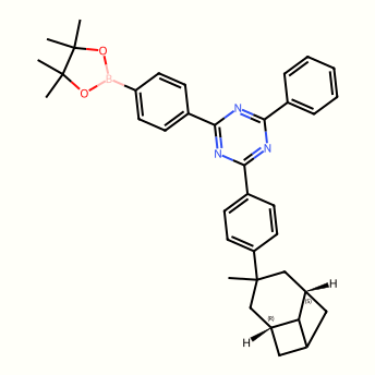 CC1(c2ccc(-c3nc(-c4ccccc4)nc(-c4ccc(B5OC(C)(C)C(C)(C)O5)cc4)n3)cc2)C[C@H]2CC3C[C@@H](C1)C32